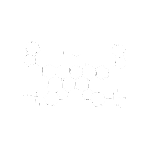 Cc1cc(-c2csc3ccccc23)cc(C)c1N1c2cc(C(C)C)cc3c2B(c2oc4ccc(C(C)(C)C)cc4c21)c1oc2ccc(C(C)(C)C)cc2c1N3c1c(C)cc(-c2csc3ccccc23)cc1C